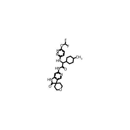 CC1CCC(C(Nc2ccc(OC(F)F)nn2)C(=O)Nc2cc3c(cn2)C2(CCOCC2)C(=O)N3)CC1